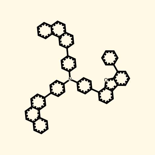 c1ccc(-c2cccc3c2oc2c(-c4ccc(N(c5ccc(-c6ccc7ccc8ccccc8c7c6)cc5)c5ccc(-c6ccc7ccc8ccccc8c7c6)cc5)cc4)cccc23)cc1